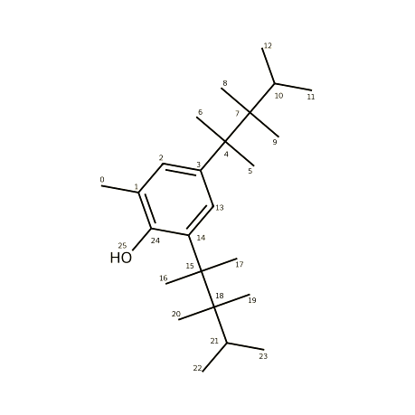 Cc1cc(C(C)(C)C(C)(C)C(C)C)cc(C(C)(C)C(C)(C)C(C)C)c1O